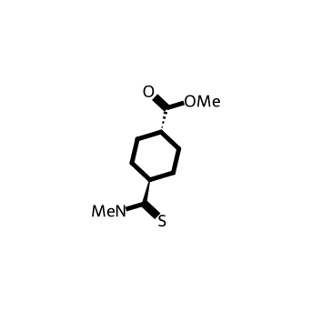 CNC(=S)[C@H]1CC[C@H](C(=O)OC)CC1